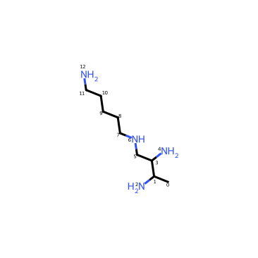 CC(N)C(N)CNCCCCCN